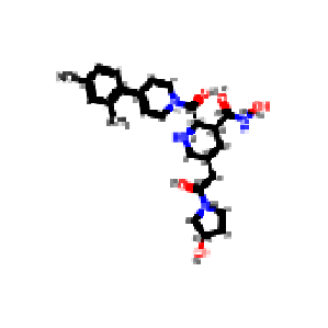 Cc1cc(C#N)ccc1C1=CCN(C(=O)[C@H]2NC[C@H](CC(=O)N3CC[C@@H](O)C3)C[C@@H]2C(=O)NO)CC1